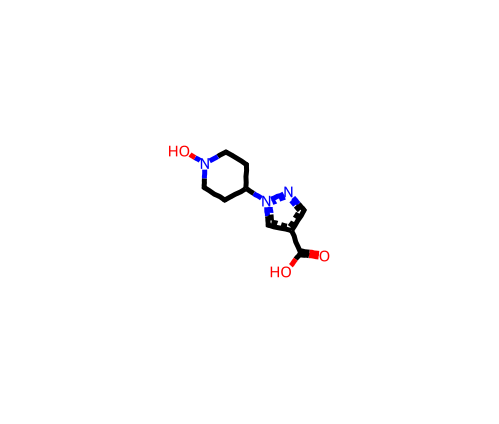 O=C(O)c1cnn(C2CCN(O)CC2)c1